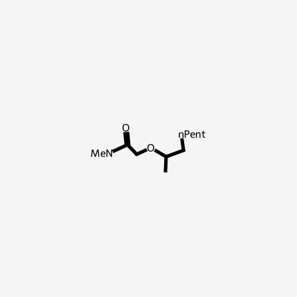 CCCCCCC(C)OCC(=O)NC